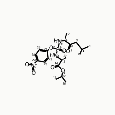 CC(C)CC(=O)[C@H](C)NP(=O)(N[C@@H](C)C(=O)OC(C)C)Oc1ccc([N+](=O)[O-])cc1